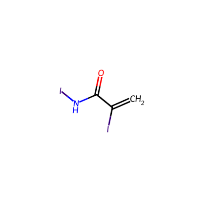 C=C(I)C(=O)NI